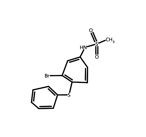 CS(=O)(=O)Nc1ccc(Sc2ccccc2)c(Br)c1